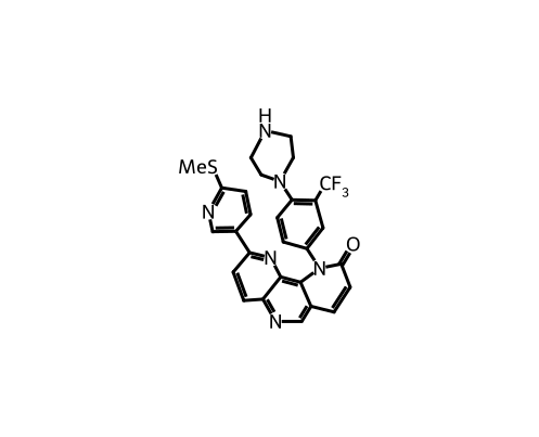 CSc1ccc(-c2ccc3ncc4ccc(=O)n(-c5ccc(N6CCNCC6)c(C(F)(F)F)c5)c4c3n2)cn1